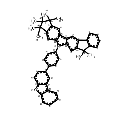 CC1(C)c2ccccc2-c2cc3c4cc5c(cc4n(-c4ccc(-c6ccc7oc8ccccc8c7c6)cc4)c3cc21)C(C)(C)C(C)(C)C5(C)C